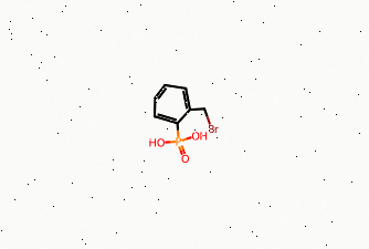 O=P(O)(O)c1ccccc1CBr